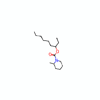 CCCCCCC(CC)OC(=O)N1CCCCC1C